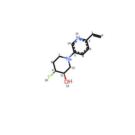 C=Cc1ccc(N2CC[C@H](F)[C@H](O)C2)cn1